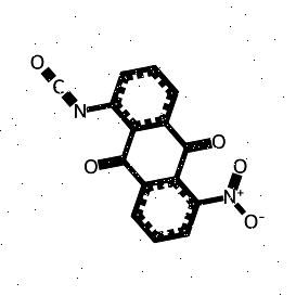 O=C=Nc1cccc2c1C(=O)c1cccc([N+](=O)[O-])c1C2=O